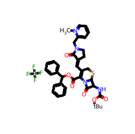 C[n+]1ccccc1CN1CCC(=CC2=C(C(=O)OC(c3ccccc3)c3ccccc3)N3C(=O)C(NC(=O)OC(C)(C)C)C3SC2)C1=O.F[B-](F)(F)F